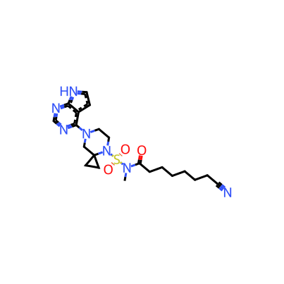 CN(C(=O)CCCCCCC#N)S(=O)(=O)N1CCN(c2ncnc3[nH]ccc23)CC12CC2